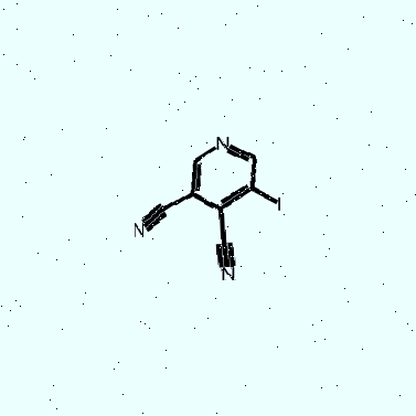 N#Cc1cncc(I)c1C#N